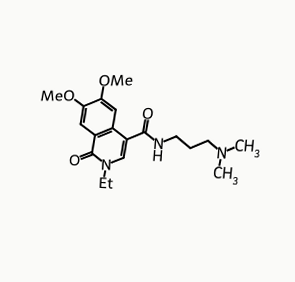 CCn1cc(C(=O)NCCCN(C)C)c2cc(OC)c(OC)cc2c1=O